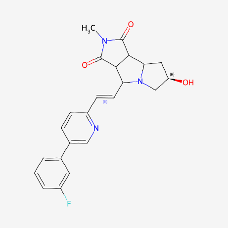 CN1C(=O)C2C(C1=O)C1C[C@@H](O)CN1C2/C=C/c1ccc(-c2cccc(F)c2)cn1